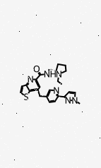 CCN1CCC[C@H]1CNC(=O)c1cc(Cc2ccc(-c3ccn(C)n3)nc2)c2sccc2n1